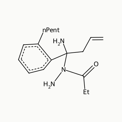 C=CCC(N)(c1ccccc1CCCCC)N(N)C(=O)CC